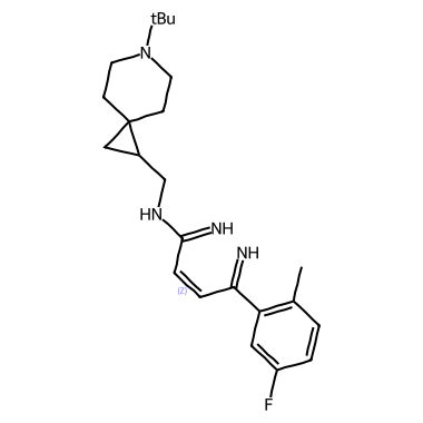 Cc1ccc(F)cc1C(=N)/C=C\C(=N)NCC1CC12CCN(C(C)(C)C)CC2